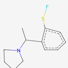 CC(c1ccccc1SF)N1CCCC1